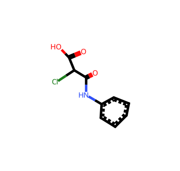 O=C(O)C(Cl)C(=O)Nc1ccccc1